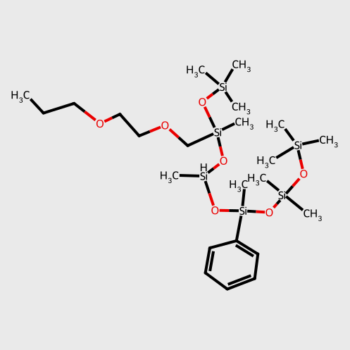 CCCOCCOC[Si](C)(O[SiH](C)O[Si](C)(O[Si](C)(C)O[Si](C)(C)C)c1ccccc1)O[Si](C)(C)C